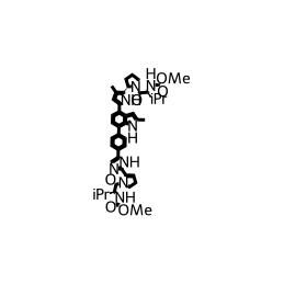 COC(=O)N[C@H](C(=O)N1CCC=C1c1ncc(-c2ccc(-c3ccc(-c4cc(C)c([C@@H]5CCCN5C(=O)[C@@H](NC(=O)OC)C(C)C)[nH]4)c4cc(C)[nH]c34)cc2)[nH]1)C(C)C